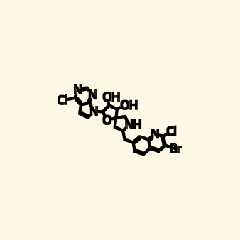 OC1C(n2ccc3c(Cl)ncnc32)OC2(CNC(Cc3ccc4cc(Br)c(Cl)nc4c3)C2)C1O